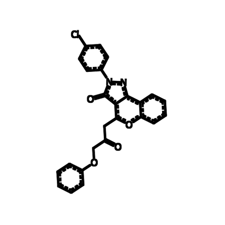 O=C(COc1ccccc1)Cc1oc2ccccc2c2nn(-c3ccc(Cl)cc3)c(=O)c1-2